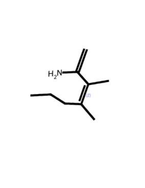 C=C(N)/C(C)=C(/C)CCC